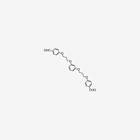 O=Cc1ccc(OCCCOc2cccc(OCCCOc3ccc(C=O)cc3)c2)cc1